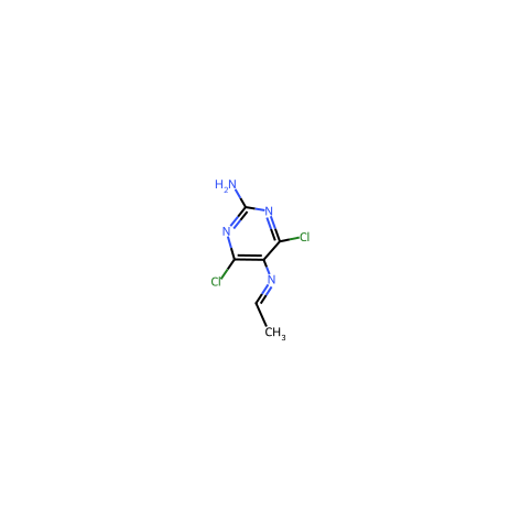 C/C=N/c1c(Cl)nc(N)nc1Cl